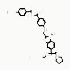 CCOC(=O)CN[C@@](C)(C(=O)N1CCCC1)c1ccc2c(c1)nc(CNc1ccc(C(=N)NC(=O)c3ccc(C)cc3)cc1)n2C